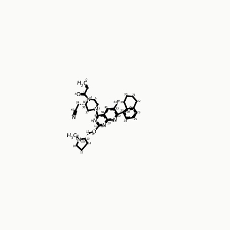 C=CC(=O)N1CCN(c2nc(OC[C@@H]3CCCN3C)nc3nc(-c4cccc5c4CCCC5)c(F)cc23)C[C@@H]1CC#N